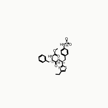 CCc1csc([C@H](Cc2ccc(N[SH](=O)=O)cc2)NC(=O)[C@H](Cc2ccccc2)NC(=O)OC)n1